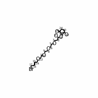 O=C(CCOCCOCCOCCOCC=CCBr)ON1C(=O)CCC1=O